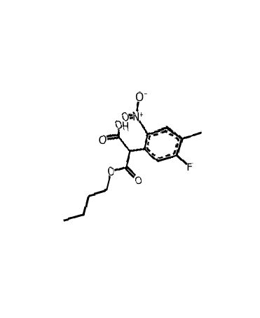 CCCCOC(=O)C(C(=O)O)c1cc(F)c(C)cc1[N+](=O)[O-]